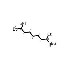 CCCCC(CC)CC[CH]CCC(CC)CC